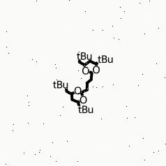 CC(C)(C)CC1CC(C(C)(C)C)OC(CCCC2OC(CC(C)(C)C)CC(C(C)(C)C)O2)O1